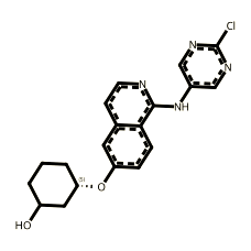 OC1CCC[C@H](Oc2ccc3c(Nc4cnc(Cl)nc4)nccc3c2)C1